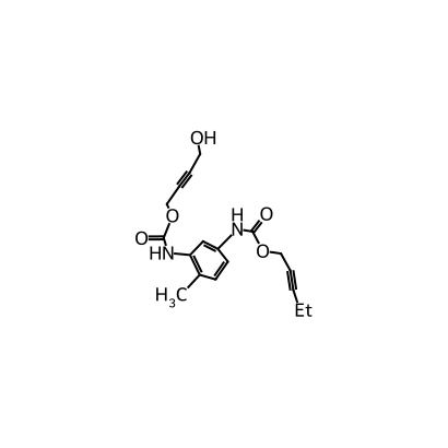 CCC#CCOC(=O)Nc1ccc(C)c(NC(=O)OCC#CCO)c1